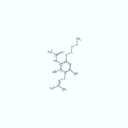 CCCCCc1cc(O)c(CC=C(C)C)c(O)c1OC(C)=O